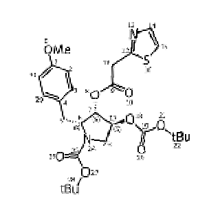 COc1ccc(C[C@@H]2[C@H](OC(=O)Cc3nccs3)[C@@H](OC(=O)OC(C)(C)C)CN2C(=O)OC(C)(C)C)cc1